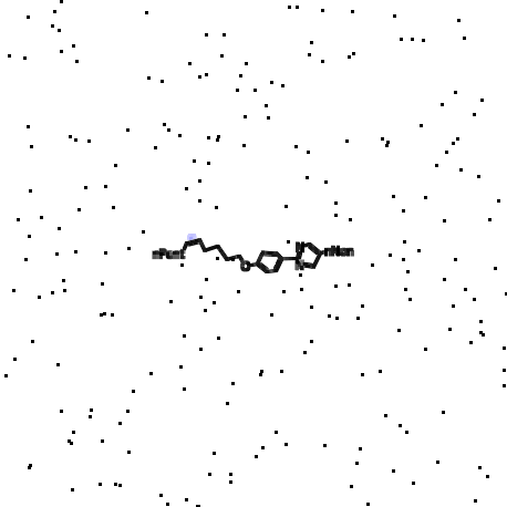 CCCCC/C=C\CCCCOc1ccc(-c2ncc(CCCCCCCCC)cn2)cc1